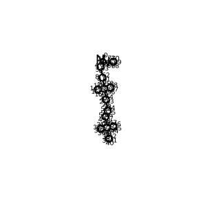 Cc1nc2ccc(-c3ccc(-c4c5ccccc5c(-c5ccc(-c6ccc7cc(-c8c9ccccc9c(-c9ccccc9)c9ccccc89)ccc7c6)cc5)c5ccccc45)cc3)cc2n1-c1ccccc1